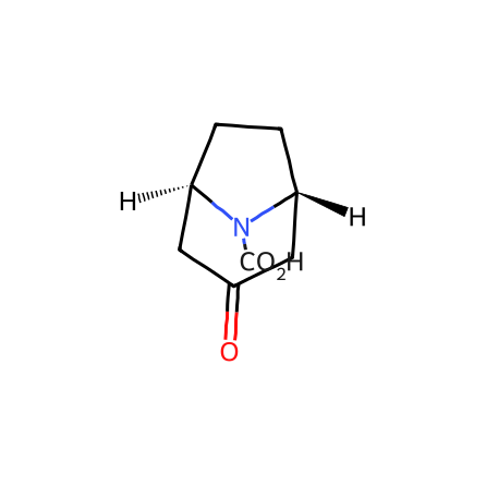 O=C1C[C@H]2CC[C@H](C1)N2C(=O)O